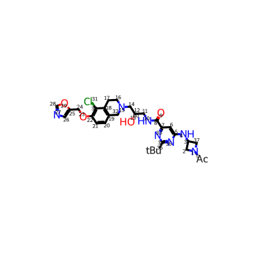 CC(=O)N1CC(Nc2cc(C(=O)NC[C@H](O)CN3CCc4c(ccc(OCc5cnco5)c4Cl)C3)nc(C(C)(C)C)n2)C1